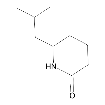 CC(C)CC1CCCC(=O)N1